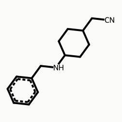 N#CCC1CCC(NCc2ccccc2)CC1